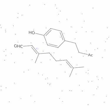 CC(=O)CCc1ccc(O)cc1.CC(C)=CCC/C(C)=C/C=O